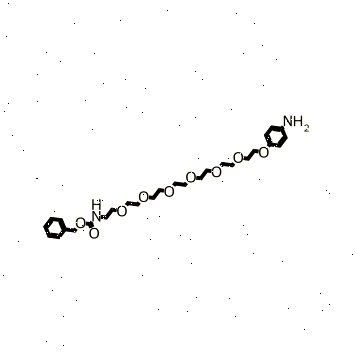 Nc1ccc(OCCOCCOCCOCCOCCOCCOCCNC(=O)OCc2ccccc2)cc1